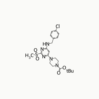 CC(C)(C)OC(=O)N1CCN(c2cc(NCc3ccc(Cl)cc3)nc(S(C)(=O)=O)n2)CC1